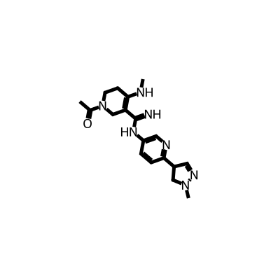 CNC1=C(C(=N)Nc2ccc(C3C=NN(C)C3)nc2)CN(C(C)=O)CC1